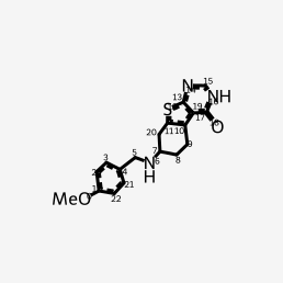 COc1ccc(CNC2CCc3c(sc4nc[nH]c(=O)c34)C2)cc1